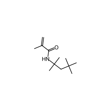 C=C(C)C(=O)NC(C)(C)CC(C)(C)C